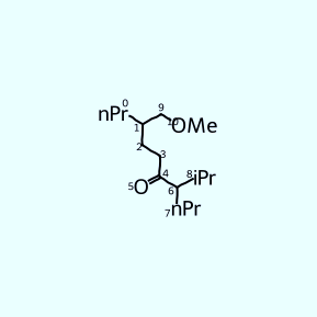 CCCC(CCC(=O)C(CCC)C(C)C)COC